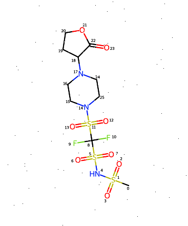 CS(=O)(=O)NS(=O)(=O)C(F)(F)S(=O)(=O)N1CCN(C2CCOC2=O)CC1